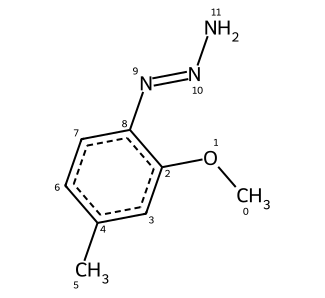 COc1cc(C)ccc1N=NN